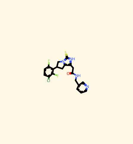 O=C(Cc1[nH]c(=S)n2c1CC(c1c(F)ccc(Cl)c1F)C2)NCc1cccnc1